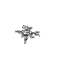 N=C(N)NCCC[C@H](NC(=O)[C@H](CC(=O)O)NC(=O)[C@H](Cc1c[nH]cn1)NC(=O)[C@@H](N)Cc1c[nH]cn1)C(=O)N[C@@H](Cc1ccccc1)C(=O)O